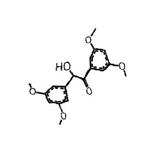 COc1cc(OC)cc(C(=O)C(O)c2cc(OC)cc(OC)c2)c1